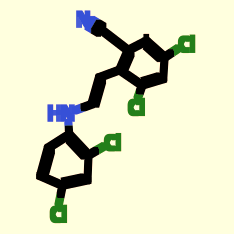 N#Cc1[c]c(Cl)cc(Cl)c1C=CNc1ccc(Cl)cc1Cl